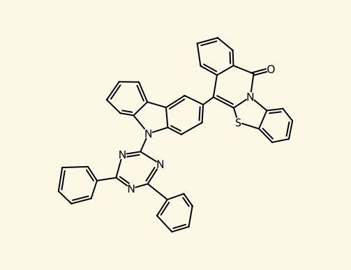 O=c1c2ccccc2c(-c2ccc3c(c2)c2ccccc2n3-c2nc(-c3ccccc3)nc(-c3ccccc3)n2)c2sc3ccccc3n12